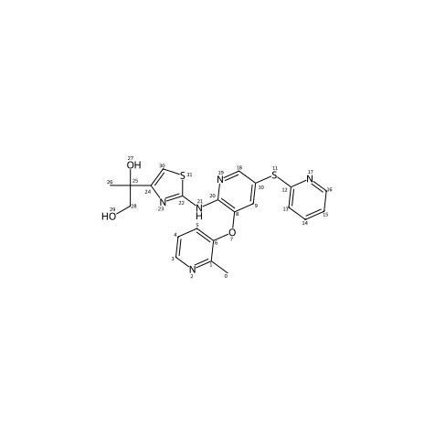 Cc1ncccc1Oc1cc(Sc2ccccn2)cnc1Nc1nc(C(C)(O)CO)cs1